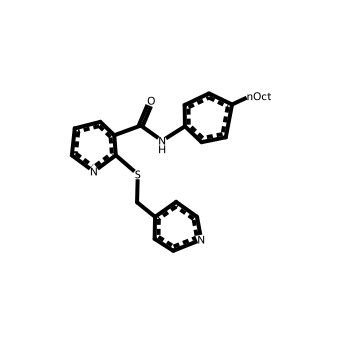 CCCCCCCCc1ccc(NC(=O)c2cccnc2SCc2ccncc2)cc1